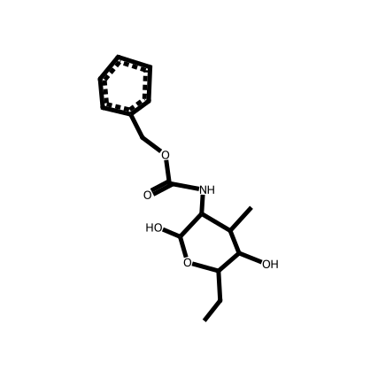 CCC1OC(O)C(NC(=O)OCc2ccccc2)C(C)C1O